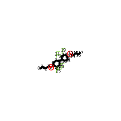 CC=CCOC1CCC(C2CCC(OCCCC)C(F)C2F)C(F)C1F